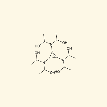 CC(O)N(C1=C(N(C(C)O)C(C)O)C1N(C(C)O)C(C)O)C(C)O